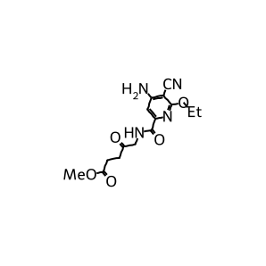 CCOc1nc(C(=O)NCC(=O)CCC(=O)OC)cc(N)c1C#N